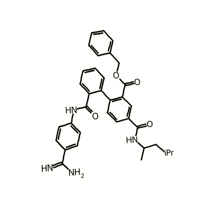 CC(C)CC(C)NC(=O)c1ccc(-c2ccccc2C(=O)Nc2ccc(C(=N)N)cc2)c(C(=O)OCc2ccccc2)c1